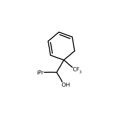 CC(C)C(O)C1(C(F)(F)F)C=CC=CC1